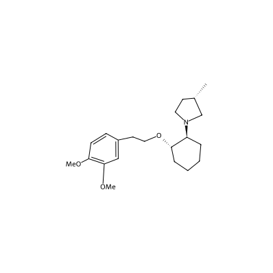 COc1ccc(CCO[C@H]2CCCC[C@@H]2N2CC[C@H](C)C2)cc1OC